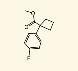 COC(=O)C1(c2ccc(F)cc2)CCC1